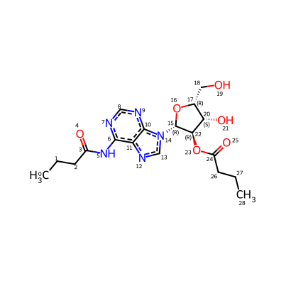 CCCC(=O)Nc1ncnc2c1ncn2[C@@H]1O[C@H](CO)[C@H](O)[C@H]1OC(=O)CCC